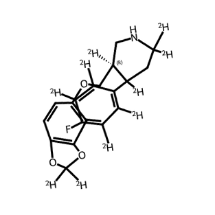 [2H]c1c([2H])c(C2([2H])CC([2H])([2H])NC[C@]2([2H])COc2ccc3c(c2)OC([2H])([2H])O3)c([2H])c([2H])c1F